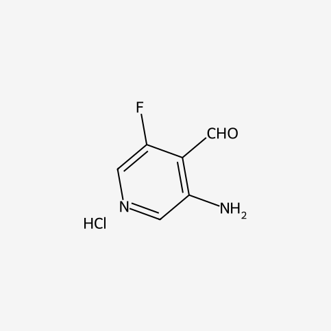 Cl.Nc1cncc(F)c1C=O